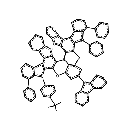 CC(C)(C)c1ccc(-n2c3c(-c4ccccc4)cccc3c3c4c(oc5ccccc54)c4c(c32)Oc2cc(-n3c5ccccc5c5ccccc53)cc3c2B4c2c(c4c(c5cccc(-c6ccccc6)c5n4-c4ccccc4)c4c2oc2ccccc24)S3)cc1